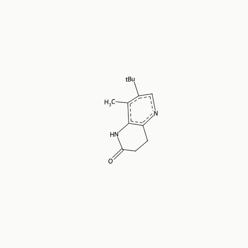 Cc1c(C(C)(C)C)cnc2c1NC(=O)CC2